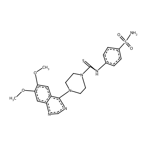 COc1cc2ncnc(N3CCN(C(=S)Nc4ccc(S(N)(=O)=O)cc4)CC3)c2cc1OC